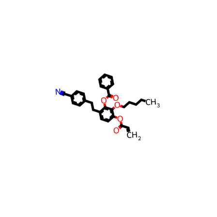 C=CC(=O)Oc1ccc(CCc2ccc(C#N)cc2)c(OC(=O)c2ccccc2)c1OCCCCC